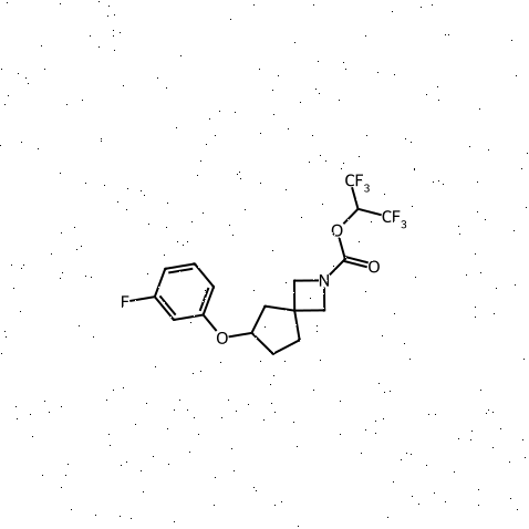 O=C(OC(C(F)(F)F)C(F)(F)F)N1CC2(CCC(Oc3cccc(F)c3)C2)C1